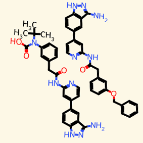 CC(C)(C)N(C(=O)O)c1cccc(CC(=O)Nc2cc(-c3ccc4[nH]nc(N)c4c3)ccn2)c1.Nc1n[nH]c2ccc(-c3ccnc(NC(=O)Cc4cccc(OCc5ccccc5)c4)c3)cc12